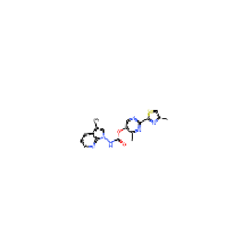 Cc1csc(-c2ncc(OC(=O)Nn3cc(C(C)C)c4cccnc43)c(C)n2)n1